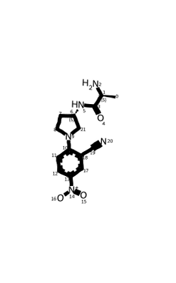 C[C@H](N)C(=O)N[C@H]1CCN(c2ccc([N+](=O)[O-])cc2C#N)C1